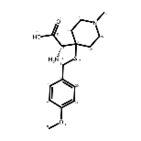 COc1ccc(CSC2([C@H](N)C(=O)O)CCN(C)CC2)cc1